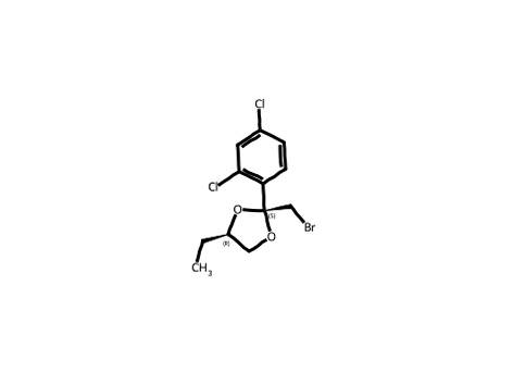 CC[C@@H]1CO[C@@](CBr)(c2ccc(Cl)cc2Cl)O1